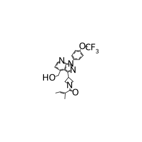 CC=C(C)C(=O)N1CC(c2nn(-c3ccc(OC(F)(F)F)cc3)c3nccc(CO)c23)C1